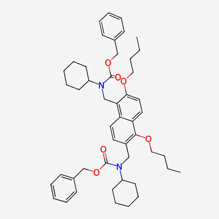 CCCCOc1ccc2c(OCCCC)c(CN(C(=O)OCc3ccccc3)C3CCCCC3)ccc2c1CN(C(=O)OCc1ccccc1)C1CCCCC1